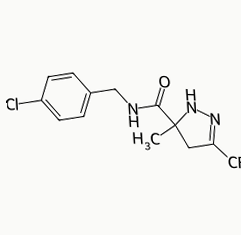 CC1(C(=O)NCc2ccc(Cl)cc2)CC(C(F)(F)F)=NN1